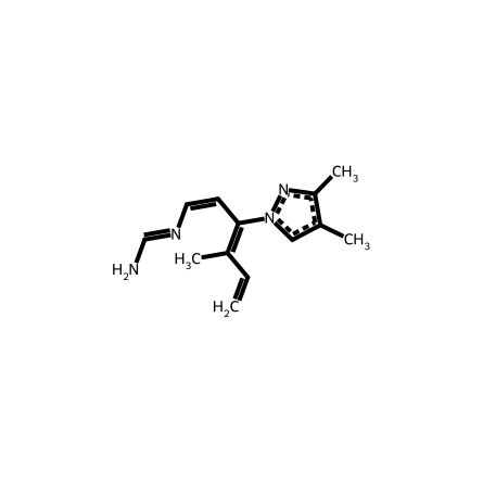 C=C/C(C)=C(/C=C\N=C\N)n1cc(C)c(C)n1